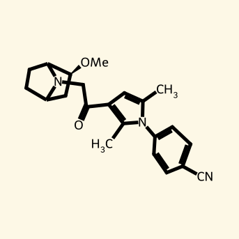 CO[C@H]1CC2CCC1N2CC(=O)c1cc(C)n(-c2ccc(C#N)cc2)c1C